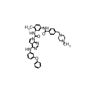 Cc1ccc(NC(=O)c2ccc(CN3CCN(C)CC3)cc2)cc1NC(=O)n1ccc2c(Nc3cccc(Oc4ccccc4)c3)ncnc21